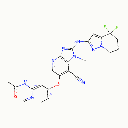 C=N/C(=C\C(=C/C)Oc1cnc2nc(Nc3cc4n(n3)CCCC4(F)F)n(C)c2c1C#N)NC(C)=O